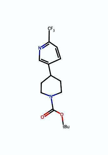 CC(C)(C)OC(=O)N1CCC(c2ccc(C(F)(F)F)nc2)CC1